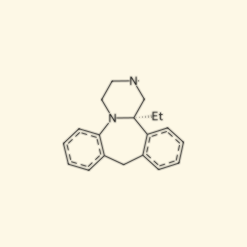 CC[C@@]12C[N]CCN1c1ccccc1Cc1ccccc12